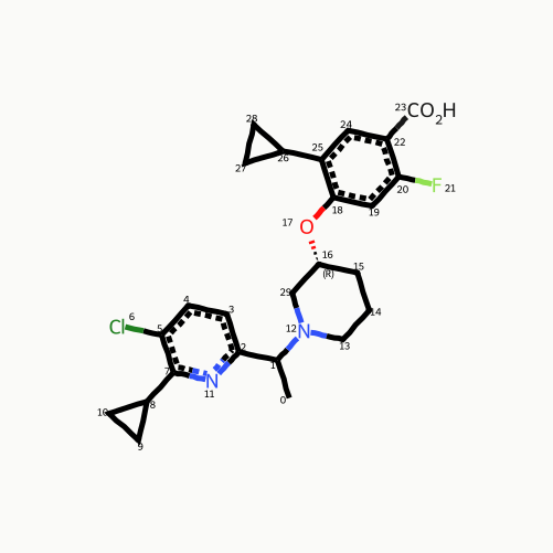 CC(c1ccc(Cl)c(C2CC2)n1)N1CCC[C@@H](Oc2cc(F)c(C(=O)O)cc2C2CC2)C1